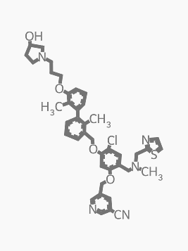 Cc1c(COc2cc(OCc3cncc(C#N)c3)c(CN(C)Cc3nccs3)cc2Cl)cccc1-c1cccc(OCCCN2CCC(O)C2)c1C